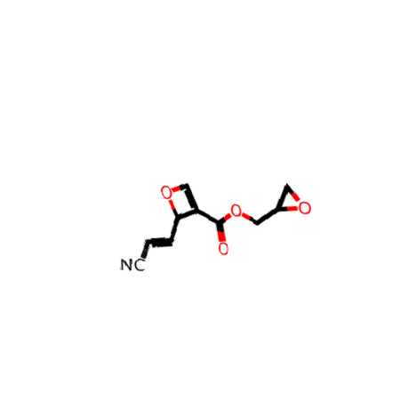 N#CC=CC1OC=C1C(=O)OCC1CO1